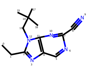 CCc1nc2cnc(C#N)nc2n1CC(C)(C)C